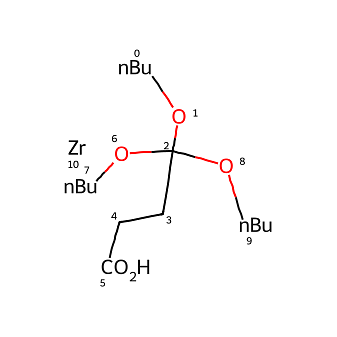 CCCCOC(CCC(=O)O)(OCCCC)OCCCC.[Zr]